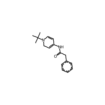 CC(C)(C)N1C=CC(NC(=O)Cc2ccccc2)=CC1